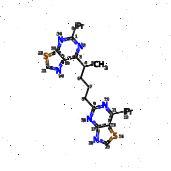 CC(C)c1nc(C(C)CCCc2nc(C(C)C)c3scnc3n2)c2ncsc2n1